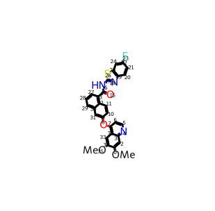 COc1cc2nccc(Oc3ccc4c(C(=O)Nc5nc6ccc(F)cc6s5)cccc4c3)c2cc1OC